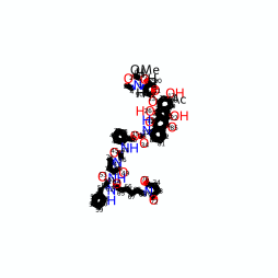 CO[C@H]1OCCN2[C@@H]1O[C@@H]1[C@H](C)OC(O[C@H]3C[C@](O)(C(C)=O)Cc4c(O)c5c(c(O)c43)C(=O)c3c(NC(=O)OCc4ccccc4NC(=O)CN4C(=O)[C@@H](NC(=O)[C@H](Cc6ccccc6)NC(=O)CCCCCN6C(=O)C=CC6=O)CC4C)cccc3C5=O)C[C@@H]12